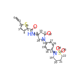 C#Cc1ccc(C(=O)N[C@@H]2CC(=O)N(c3ccc(N4CCCCS4(=O)=O)cc3)C2)s1